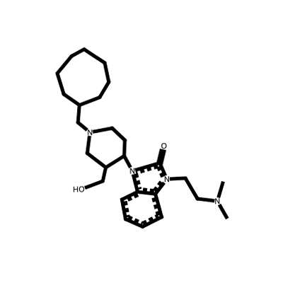 CN(C)CCn1c(=O)n(C2CCN(CC3CCCCCCC3)CC2CO)c2ccccc21